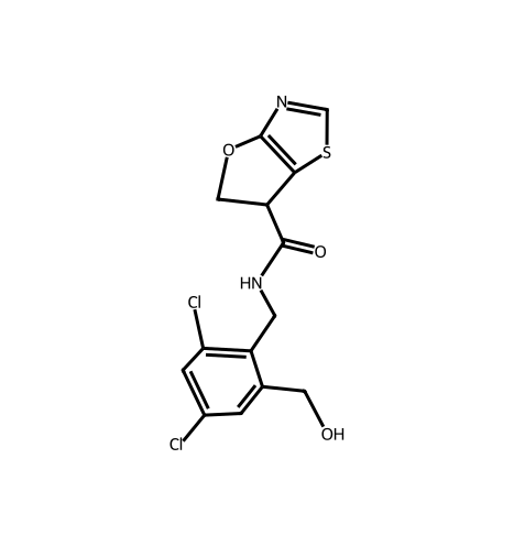 O=C(NCc1c(Cl)cc(Cl)cc1CO)C1COc2ncsc21